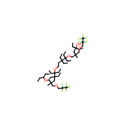 CCC(CC)OCC(C)(COCC(F)(F)C(F)(F)F)CC(CC)(CC)C(CC)(CC)OCCC(CC)(CC)C(CC)(CC)OCC(C)(COCC(F)(F)C(F)(F)F)CC(O)(CC)CC